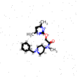 Cc1cc(C)nc(OCC(=O)N(C)C2CCN(Cc3ccccc3)CC2)n1